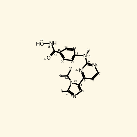 Cc1ncc(-c2ccnc(N(C)c3ccc(C(=O)NO)cc3)n2)n1C(C)C